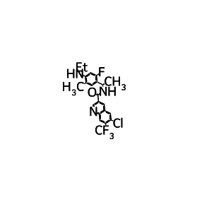 CCNc1cc(F)c([C@@H](C)NC(=O)c2cnc3cc(C(F)(F)F)c(Cl)cc3c2)cc1C